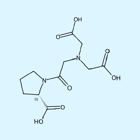 O=C(O)CN(CC(=O)O)CC(=O)N1CCC[C@H]1C(=O)O